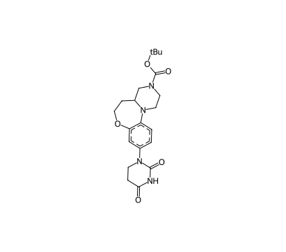 CC(C)(C)OC(=O)N1CCN2c3ccc(N4CCC(=O)NC4=O)cc3OCCC2C1